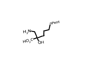 CCCCCCCCC(O)(CN)C(=O)O